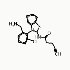 C#CCCC(=O)NC1Sc2ccccc2N1c1c(Cl)cccc1CN